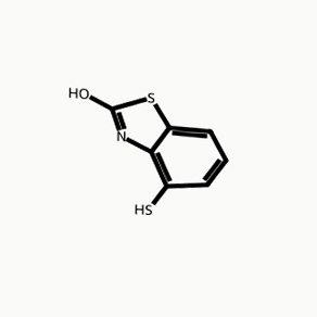 Oc1nc2c(S)cccc2s1